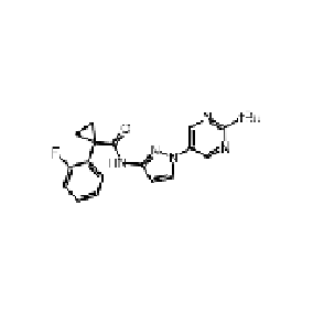 CC(C)(C)c1ncc(-n2ccc(NC(=O)C3(c4ccccc4F)CC3)n2)cn1